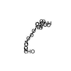 O=CN1CCC2(CC1)CCN(CCOCCOCCOCCNc1cccc3c1C(=O)N(C1CCC(=O)NC1=O)C3=O)CC2